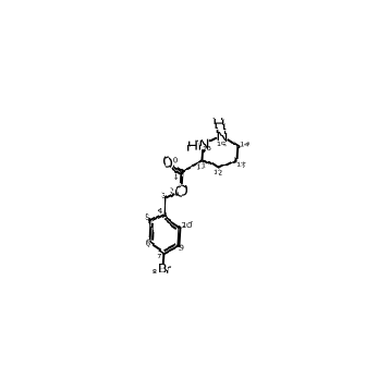 O=C(OCc1ccc(Br)cc1)C1CCCNN1